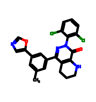 Cc1cc(-c2cnco2)cc(-c2nn(-c3c(Cl)cccc3Cl)c(=O)c3c2CCCN3)c1